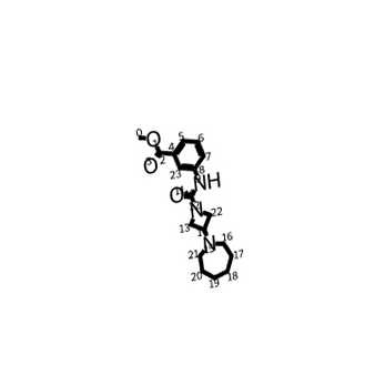 COC(=O)c1cccc(NC(=O)N2CC(N3CCCCCC3)C2)c1